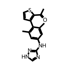 CC(=O)c1sccc1-c1c(C)cc(Nc2nc[nH]n2)cc1C